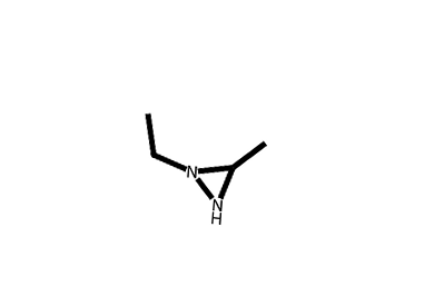 CCN1NC1C